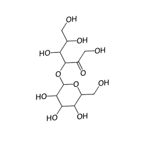 O=C(CO)C(OC1OC(CO)C(O)C(O)C1O)C(O)C(O)CO